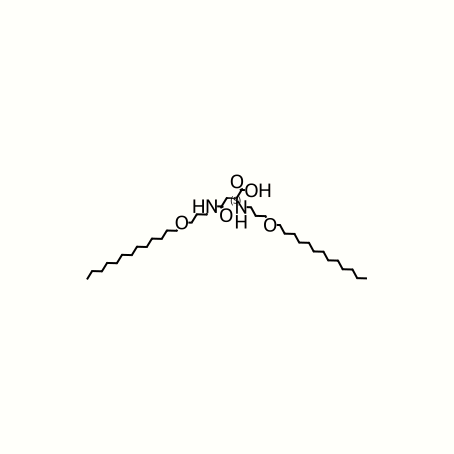 CCCCCCCCCCCCCOCCCNC(=O)C[C@H](NCCCOCCCCCCCCCCCCC)C(=O)O